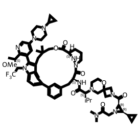 CO[C@@H](C)c1ncc(N2CCN(C3CC3)CC2)cc1-c1c2c3cc(ccc3n1CC(F)(F)F)-c1cccc(c1)C[C@H](NC(=O)[C@H](C(C)C)N1CCOC3(CN(C(=O)[C@H]4[C@@H](C5CC5)N4CC(=O)N(C)C)C3)C1)C(=O)N1CCC[C@H](N1)C(=O)OCC(C)(C)C2